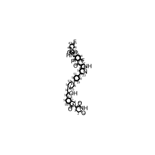 O=C1CC[C@H](N2Cc3cc(C[C@@H](O)CN4CCN(c5ccc(-c6cnc7[nH]cc(C(=O)c8c(F)ccc(NS(=O)(=O)N9CC[C@@H](F)C9)c8F)c7c6)cc5)CC4)ccc3C2=O)C(=O)N1